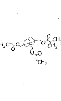 C=CC(=O)OCC12CC3CC(COC(=O)C=C)(C1)CC(COC(=O)C(=C)C)(C3)C2